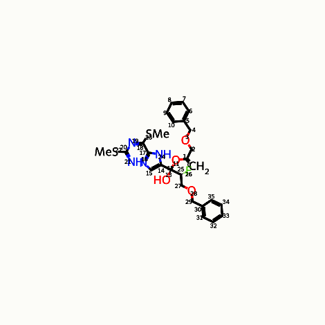 C=C(COCc1ccccc1)O[C@@](O)(c1cnc(/C(=N\C(=N)SC)SC)[nH]1)[C@H](F)COCc1ccccc1